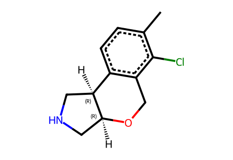 Cc1ccc2c(c1Cl)CO[C@H]1CNC[C@@H]21